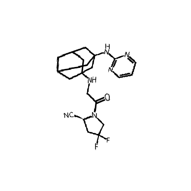 N#C[C@@H]1CC(F)(F)CN1C(=O)CNC12CC3CC(C1)CC(Nc1ncccn1)(C3)C2